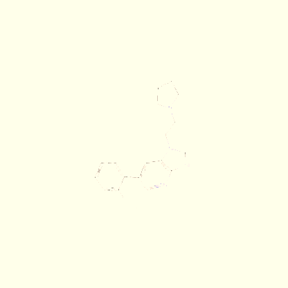 Cc1ccccc1-c1cnc2c(c1)N(CCN1CCCC1)CN2